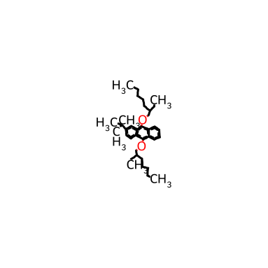 CCCCCC(CC)COc1c2ccccc2c(OCC(CC)CCCCC)c2cc(C(C)(C)C)ccc12